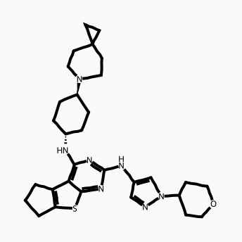 c1nn(C2CCOCC2)cc1Nc1nc(N[C@H]2CC[C@H](N3CCC4(CC3)CC4)CC2)c2c3c(sc2n1)CCC3